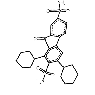 NS(=O)(=O)c1ccc2c(c1)C(=O)c1c-2cc(C2CCCCC2)c(S(N)(=O)=O)c1C1CCCCC1